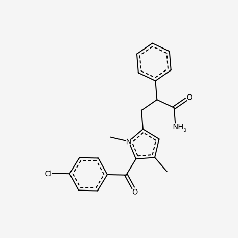 Cc1cc(CC(C(N)=O)c2ccccc2)n(C)c1C(=O)c1ccc(Cl)cc1